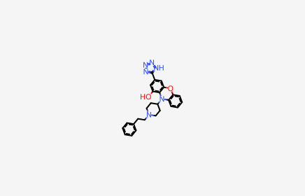 Oc1cc(-c2nnn[nH]2)cc2c1N(C1CCN(CCc3ccccc3)CC1)c1ccccc1O2